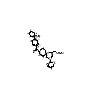 COCC1CN(c2ncccn2)CC2(CCN(C(=O)c3ccc(C4(O)CCCC4)cc3)CC2)O1